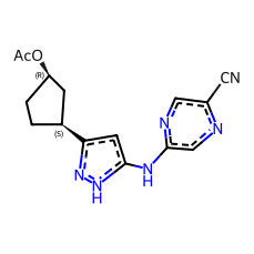 CC(=O)O[C@@H]1CC[C@H](c2cc(Nc3cnc(C#N)cn3)[nH]n2)C1